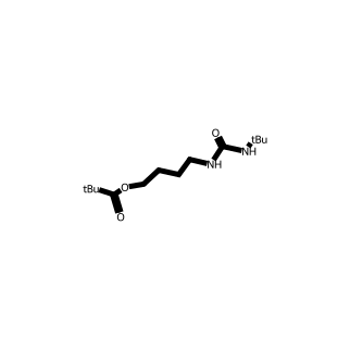 CC(C)(C)NC(=O)NCCCCOC(=O)C(C)(C)C